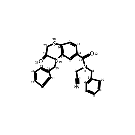 N#CCN(Cc1ccccc1)C(=O)c1ccc2c(c1)N(Cc1ccccc1)C(=O)CS2